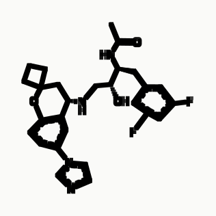 CC(=O)N[C@@H](Cc1cc(F)cc(F)c1)[C@H](O)CN[C@H]1CC2(CCC2)Oc2ccc(-n3ccnc3)cc21